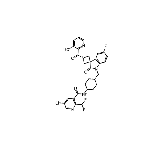 O=C(NC1CCC(CN2C(=O)C3(CN(C(=O)c4ncccc4O)C3)c3cc(F)ccc32)CC1)c1cc(Cl)cnc1C(F)F